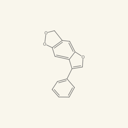 c1ccc(-c2coc3cc4c(cc23)OOC4)cc1